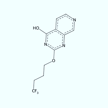 Oc1nc(OCCCC(F)(F)F)nc2cnccc12